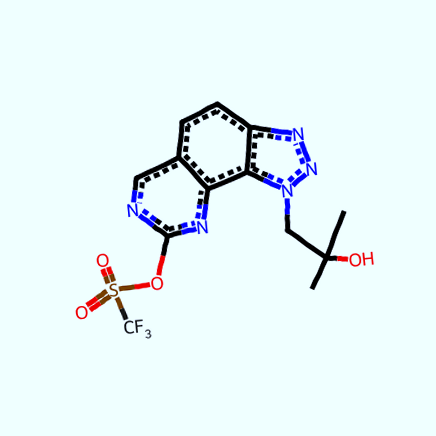 CC(C)(O)Cn1nnc2ccc3cnc(OS(=O)(=O)C(F)(F)F)nc3c21